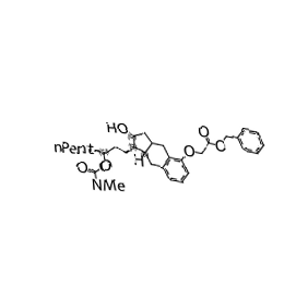 CCCCC[C@@H](CC[C@H]1[C@H](O)CC2Cc3c(cccc3OCC(=O)OCc3ccccc3)C[C@@H]21)OC(=O)NC